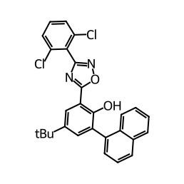 CC(C)(C)c1cc(-c2nc(-c3c(Cl)cccc3Cl)no2)c(O)c(-c2cccc3ccccc23)c1